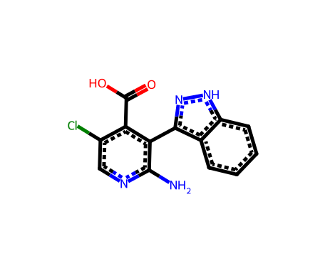 Nc1ncc(Cl)c(C(=O)O)c1-c1n[nH]c2ccccc12